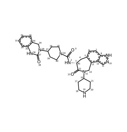 O=C(N[C@@H]1Cc2ccc3[nH]ncc3c2CN(C2CCNCC2)C1=O)N1CCC(N2Cc3ccccc3NC2=O)CC1